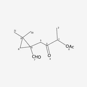 CC(=O)OC(C)C(=O)CC1(C=O)CC1(C)C